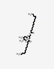 CCC/C=C\CCCCCCCCCC(=O)OCC(COC(=O)CCCCCCC/C=C\CCC)OC(=O)CC(C)C(C)CC